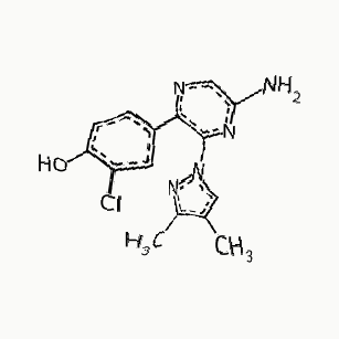 Cc1cn(-c2nc(N)cnc2-c2ccc(O)c(Cl)c2)nc1C